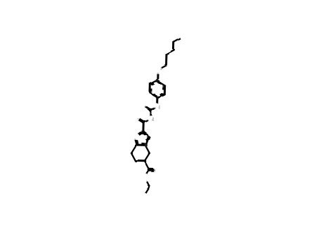 CCCCCOc1ccc(NC(=S)NC(=O)c2cc3c(o2)CCC(C(=O)OCC)C3)cc1